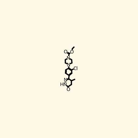 CCOC(=O)N1CCN(c2ccc(C3=NNC(=O)CC3C)cc2Cl)CC1